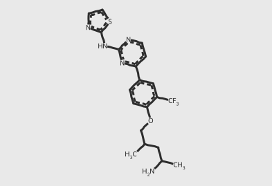 CC(N)CC(C)COc1ccc(-c2ccnc(Nc3nccs3)n2)cc1C(F)(F)F